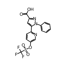 O=C(O)c1cc(-c2ccc(OS(=O)(=O)C(F)(F)F)cn2)n(-c2ccccc2)n1